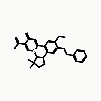 C=C(C)C1=CN2C(=CC1=C)c1cc(CC)c(CCc3ccccc3)cc1C1CCC(C)(C)C12